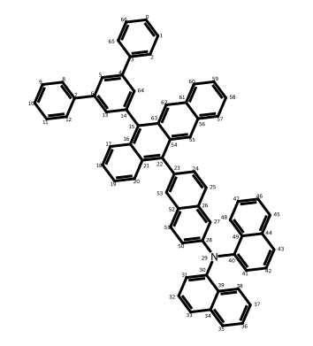 c1ccc(-c2cc(-c3ccccc3)cc(-c3c4ccccc4c(-c4ccc5cc(N(c6cccc7ccccc67)c6cccc7ccccc67)ccc5c4)c4cc5ccccc5cc34)c2)cc1